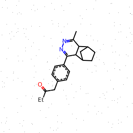 CCC(=O)Cc1ccc(C2=NN=C(C)C3C4CCC(C4)C23)cc1